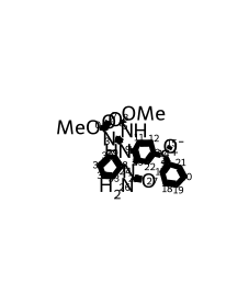 COC(=O)N=C(NC(=O)OC)Nc1ccc([S+]([O-])c2ccccc2)cc1N(C(N)=O)c1ccccc1